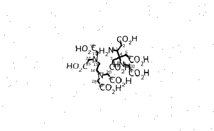 NC(CC(=O)O)C(CC(=O)O)(CC(=O)O)NCC(=O)O.O=C(O)CN(CCN(CC(=O)O)CC(=O)O)CC(=O)O